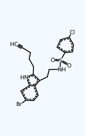 C#CCCCc1[nH]c2cc(Br)ccc2c1CCNS(=O)(=O)c1ccc(Cl)cc1